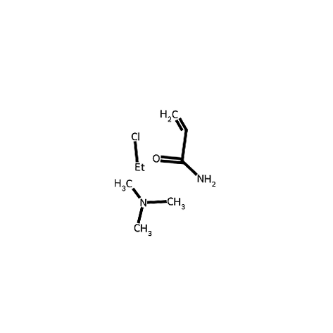 C=CC(N)=O.CCCl.CN(C)C